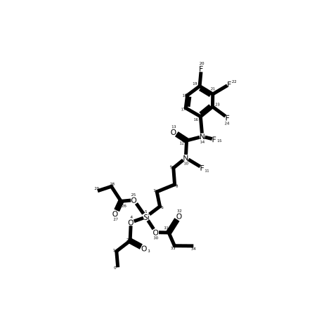 CCC(=O)O[Si](CCCCN(F)C(=O)N(F)c1ccc(F)c(F)c1F)(OC(=O)CC)OC(=O)CC